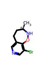 C[C@@H]1CCc2cncc(Br)c2ON1